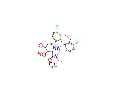 C[C@@H](N1CN(C2c3cccc(F)c3CCc3c(F)cccc32)N2C=CC(=O)C(O)C2C1=O)C(F)(F)F